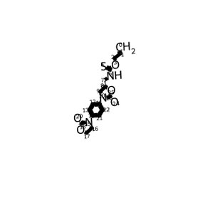 C=CCOC(=S)NC[C@H]1CN(c2ccc(N3CCOC3=O)cc2)C(=O)O1